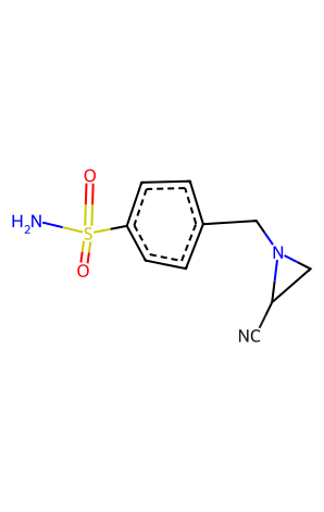 N#CC1CN1Cc1ccc(S(N)(=O)=O)cc1